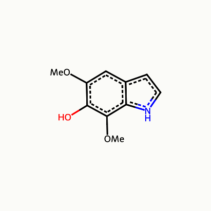 COc1cc2cc[nH]c2c(OC)c1O